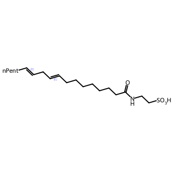 CCCCC/C=C/C/C=C/CCCCCCCC(=O)NCCS(=O)(=O)O